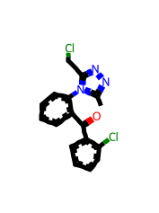 Cc1nnc(CCl)n1-c1ccccc1C(=O)c1ccccc1Cl